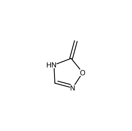 C=C1NC=NO1